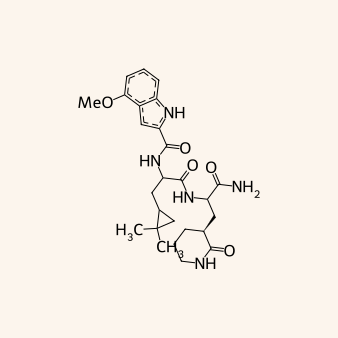 COc1cccc2[nH]c(C(=O)NC(CC3CC3(C)C)C(=O)NC(C[C@@H]3CCCNC3=O)C(N)=O)cc12